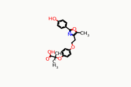 Cc1oc(-c2ccc(O)cc2)nc1CCOc1ccc(OC(C)(C)C(=O)O)cc1